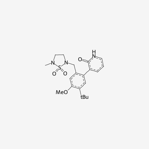 COc1cc(CN2CCN(C)S2(=O)=O)c(-c2ccc[nH]c2=O)cc1C(C)(C)C